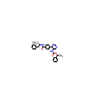 CC(OC(=O)Nc1cncnc1-c1ccc(C(=O)NC(Cc2ccccc2)C(=O)O)cc1)c1ccccc1